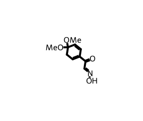 COC1(OC)C=CC(C(=O)C=NO)=CC1